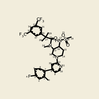 Cc1cc(F)ccc1-c1ccnc(N2CCC(NS(C)(=O)=O)C(N(C)C(=O)C(C)(C)c3cc(C(F)(F)F)cc(C(F)(F)F)c3)C2)c1